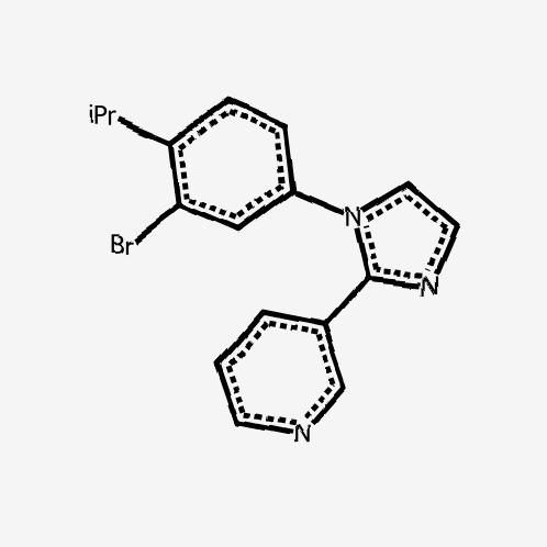 CC(C)c1ccc(-n2ccnc2-c2cccnc2)cc1Br